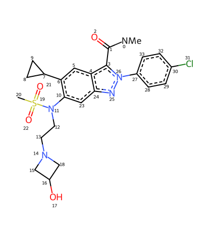 CNC(=O)c1c2cc(C3CC3)c(N(CCN3CC(O)C3)S(C)(=O)=O)cc2nn1-c1ccc(Cl)cc1